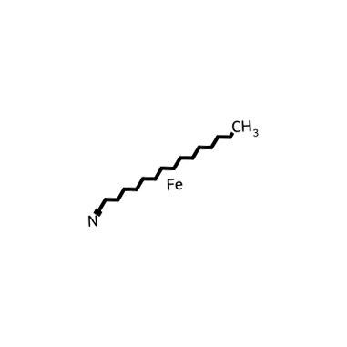 CCCCCCCCCCCCCCCC#N.[Fe]